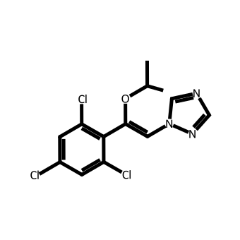 CC(C)OC(=Cn1cncn1)c1c(Cl)cc(Cl)cc1Cl